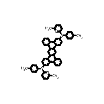 Cc1ccc(N(c2ccc3c(c2)c2ccccc2c2cc4c5ccc(N(c6ccc(C)cc6)c6cccc(C)n6)cc5c5ccccc5c4cc32)c2cccc(C)n2)cc1